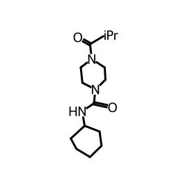 CC(C)C(=O)N1CCN(C(=O)NC2CCCCC2)CC1